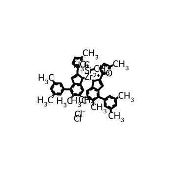 Cc1cc(C)cc(-c2c(C)c(C)cc3c2C=C(c2ccc(C)o2)[CH]3[Zr+2]([CH]2C(c3ccc(C)o3)=Cc3c2cc(C)c(C)c3-c2cc(C)cc(C)c2)=[Si](C)C)c1.[Cl-].[Cl-]